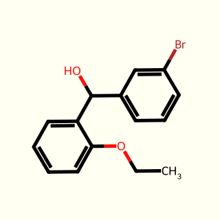 CCOc1ccccc1C(O)c1cccc(Br)c1